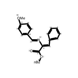 CCCCOC(=O)C(=Cc1ccccc1)N=Cc1ccc(OC)cc1